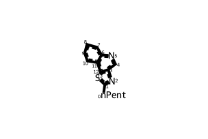 CCCCCc1nc2cnc3ccccc3c2s1